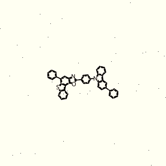 c1ccc(-c2ccc3c(c2)c2ccccc2n3-c2ccc(-c3nc4cc(-c5ccccc5)c5sc6ccccc6c5c4o3)cc2)cc1